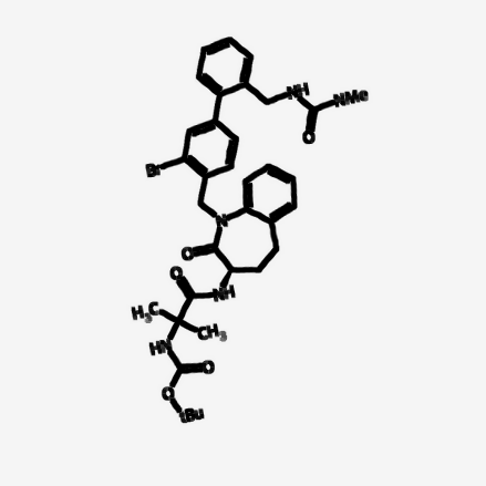 CNC(=O)NCc1ccccc1-c1ccc(CN2C(=O)[C@H](NC(=O)C(C)(C)NC(=O)OC(C)(C)C)CCc3ccccc32)c(Br)c1